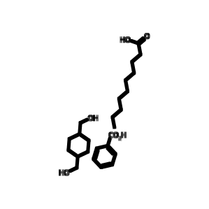 CCCCCCCCCC(=O)O.O=C(O)c1ccccc1.OCC1CCC(CO)CC1